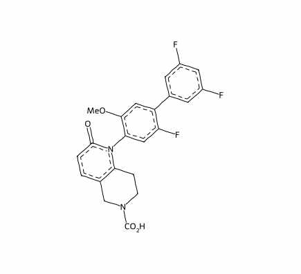 COc1cc(-c2cc(F)cc(F)c2)c(F)cc1-n1c2c(ccc1=O)CN(C(=O)O)CC2